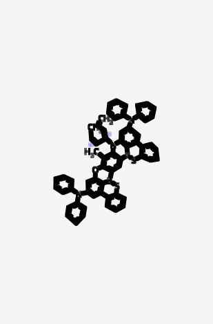 C=C/C=C(\C=C/C)N1c2cc(N(c3ccccc3)c3ccccc3)cc3c2B(Sc2ccccc2-3)c2cc3c(c(C)c21)Oc1cc(N(c2ccccc2)c2ccccc2)cc2c1B3Sc1ccccc1-2